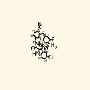 COP(=O)(c1cc(F)cc(F)c1)c1c(C(=O)NCc2ccc(C#N)cc2)[nH]c2ccc(Cl)cc12